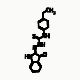 CCc1ccc(NC(=S)NN=C2Nc3ccccc3C2=O)cc1